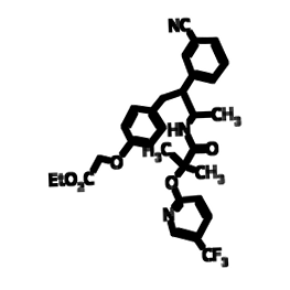 CCOC(=O)COc1ccc(CC(c2cccc(C#N)c2)C(C)NC(=O)C(C)(C)Oc2ccc(C(F)(F)F)cn2)cc1